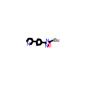 CCC(C)c1nc(-c2ccc(-c3cccnc3)cc2)no1